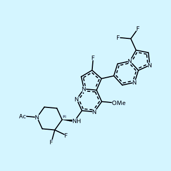 COc1nc(N[C@@H]2CCN(C(C)=O)CC2(F)F)nn2cc(F)c(-c3cnc4ncc(C(F)F)n4c3)c12